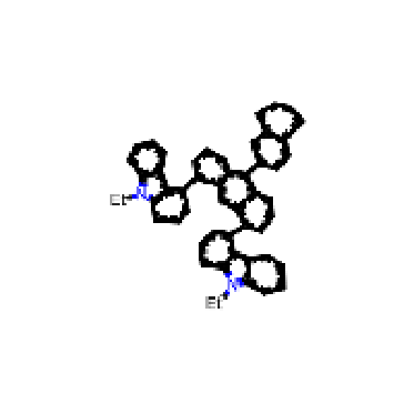 CCn1c2ccccc2c2c(-c3cccc4c(-c5ccc6ccccc6c5)c5cccc(-c6cccc7c6c6ccccc6n7CC)c5cc34)cccc21